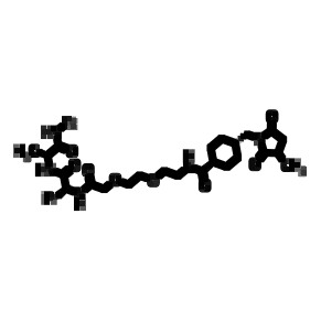 CCNC(=O)[C@H](C)NC(=O)[C@@H](NC(=O)COCCOCCNC(=O)[C@H]1CC[C@H](CN2C(=O)CC(C)C2=O)CC1)C(C)C